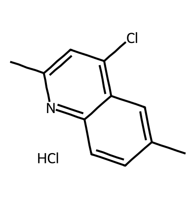 Cc1ccc2nc(C)cc(Cl)c2c1.Cl